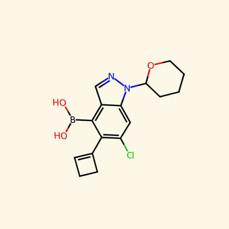 OB(O)c1c(C2=CCC2)c(Cl)cc2c1cnn2C1CCCCO1